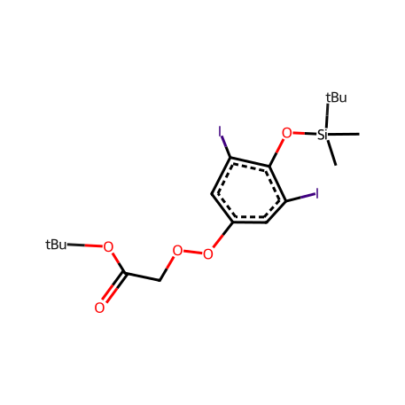 CC(C)(C)OC(=O)COOc1cc(I)c(O[Si](C)(C)C(C)(C)C)c(I)c1